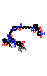 CC1(C)OC(=O)c2ccc(Nc3ncc(-c4nnc(CCCN5CCN(CC(=O)NCCCCCCNc6cccc7c6C(=O)N(C6CCC(=O)NC6=O)C7=O)CC5)o4)c(N[C@@](C)(CO)c4ccccc4)n3)cc21